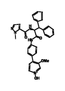 COc1c[n+](O)ccc1-c1ccc(NC(=O)[C@@H](NC(=O)c2ccnn2C)C(c2ccccc2)c2ccccc2)cc1